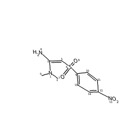 CN(C)C(N)=CS(=O)(=O)c1ccc([N+](=O)[O-])cc1